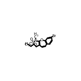 CN(C1=C(CCCCl)C=Cc2ccc(Br)cc2O1)S(C)(=O)=O